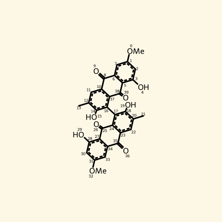 COc1cc(O)c2c(c1)C(=O)c1cc(C)c(O)c(-c3c(O)c(C)cc4c3C(=O)c3c(O)cc(OC)cc3C4=O)c1C2=O